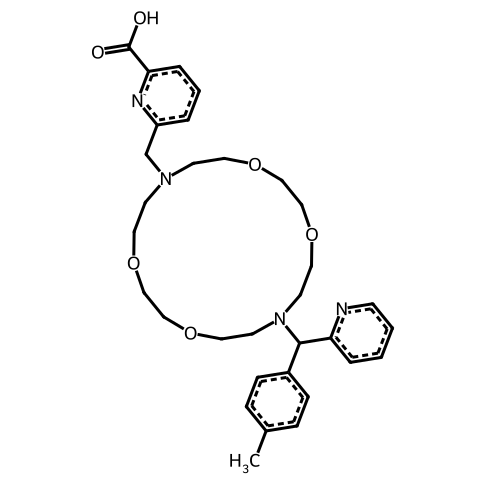 Cc1ccc(C(c2ccccn2)N2CCOCCOCCN(Cc3cccc(C(=O)O)n3)CCOCCOCC2)cc1